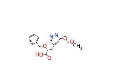 COCOc1cc(CC(OCc2ccccc2)C(=O)O)cnn1